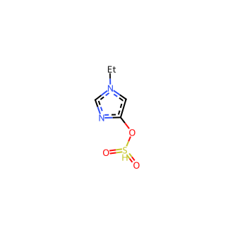 CCn1cnc(O[SH](=O)=O)c1